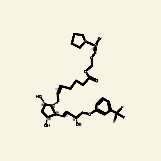 O=C(CCC/C=C\C[C@@H]1[C@@H](/C=C/[C@@H](O)COc2cccc(C(F)(F)F)c2)[C@H](O)C[C@@H]1O)OCO/N=[N+](/[O-])N1CCCC1